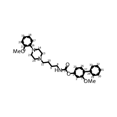 COc1cc(OC(=O)NCCCCN2CCN(c3ccccc3OC)CC2)ccc1-c1ccccc1